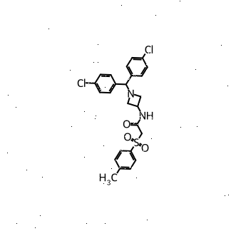 Cc1ccc(S(=O)(=O)CC(=O)NC2CN(C(c3ccc(Cl)cc3)c3ccc(Cl)cc3)C2)cc1